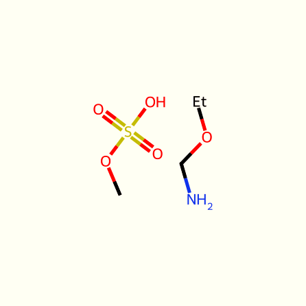 CCOCN.COS(=O)(=O)O